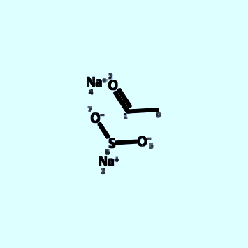 CC=O.[Na+].[Na+].[O-]S[O-]